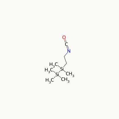 C[Si](C)(C)[Si](C)(C)CCN=C=O